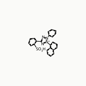 O=S(=O)(O)c1ccccc1-c1nn(-c2ccccc2)[n+](-c2cccc3ccccc23)n1